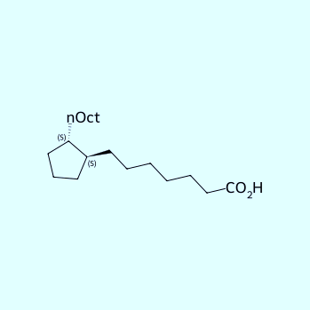 CCCCCCCC[C@H]1CCC[C@@H]1CCCCCCC(=O)O